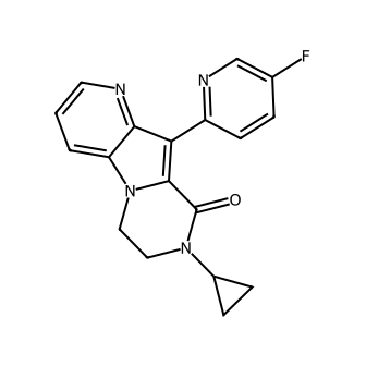 O=C1c2c(-c3ccc(F)cn3)c3ncccc3n2CCN1C1CC1